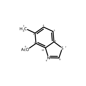 CC(=O)Oc1c(C)ccc2scnc12